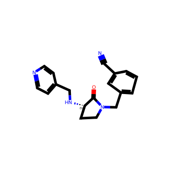 N#Cc1cccc(CN2CC[C@H](NCc3ccncc3)C2=O)c1